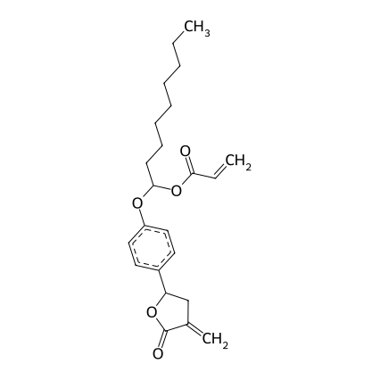 C=CC(=O)OC(CCCCCCCC)Oc1ccc(C2CC(=C)C(=O)O2)cc1